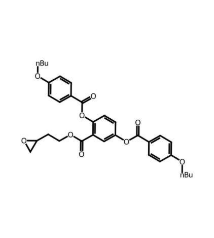 CCCCOc1ccc(C(=O)Oc2ccc(OC(=O)c3ccc(OCCCC)cc3)c(C(=O)OCCC3CO3)c2)cc1